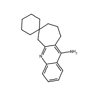 Nc1c2c(nc3ccccc13)CC1(CCCCC1)CCC2